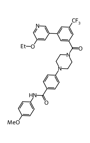 CCOc1cncc(-c2cc(C(=O)N3CCN(c4ccc(C(=O)Nc5ccc(OC)cc5)cc4)CC3)cc(C(F)(F)F)c2)c1